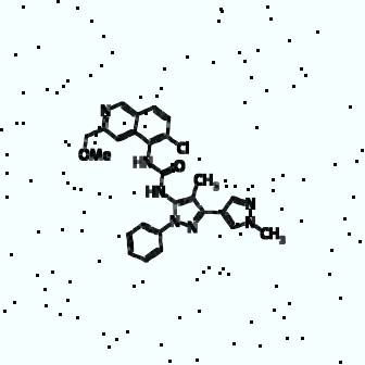 COCc1cc2c(NC(=O)Nc3c(C)c(-c4cnn(C)c4)nn3-c3ccccc3)c(Cl)ccc2cn1